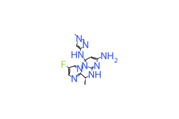 C[C@H](Nc1nc(N)cc(Nc2cn(C)cn2)n1)c1ncc(F)cn1